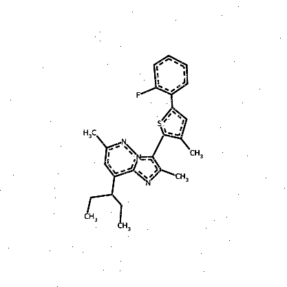 CCC(CC)c1cc(C)nn2c(-c3sc(-c4ccccc4F)cc3C)c(C)nc12